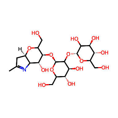 CC1=NC2[C@@H](O)[C@H](O[C@@H]3OC(CO)[C@@H](O)[C@H](O)C3O[C@H]3OC(CO)[C@@H](O)[C@H](O)C3O)C(CO)O[C@@H]2C1